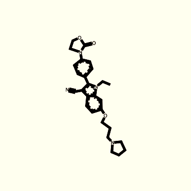 CCn1c(-c2ccc(N3CCOC3=O)cc2)c(C#N)c2ccc(OCCCN3CCCC3)cc21